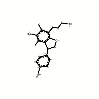 Cc1c(N)c(C)c2c(c1CCCO)OCC2c1ccc(C(C)C)cc1